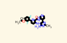 Cc1nc(N)cc(-c2ccncc2NC(=O)c2nc(-c3c(F)ccc(OC(C)C)c3F)ccc2N)n1